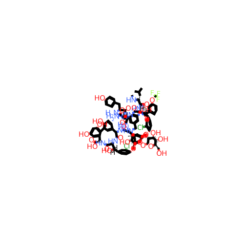 CN[C@H](CC(C)C)C(=O)N[C@H]1C(=O)N[C@@H](CC(N)=O)C(=O)NC2C(=O)NC3C(=O)N[C@H](C(=O)N[C@@H](C(=O)O)c4cc(O)cc(O)c4-c4cc3ccc4O)[C@H](O)c3ccc(c(Cl)c3)Oc3cc2cc(c3OC2O[C@H](CO)[C@@H](O)[C@@H](O)[C@H]2O[C@H]2C[C@](C)(NCc3cc(NC(=O)c4cccc(OC(F)(F)F)c4)cc(NC(=O)C(N)Cc4ccc(O)cc4)c3)[C@H](O)[C@H](C)O2)Oc2ccc(cc2Cl)[C@H]1O